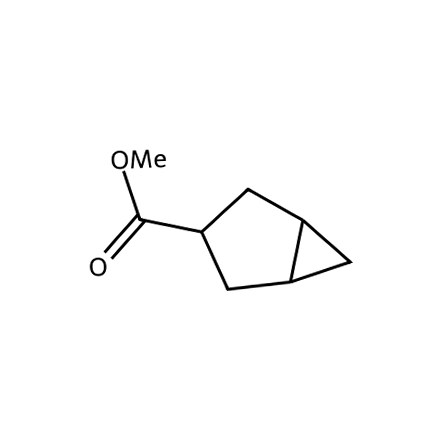 COC(=O)C1CC2CC2C1